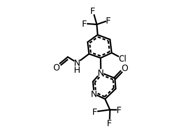 O=CNc1cc(C(F)(F)F)cc(Cl)c1-n1cnc(C(F)(F)F)cc1=O